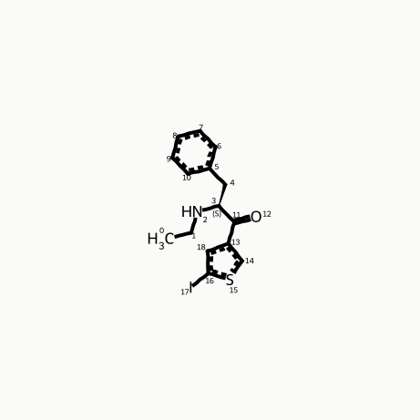 CCN[C@@H](Cc1ccccc1)C(=O)c1csc(I)c1